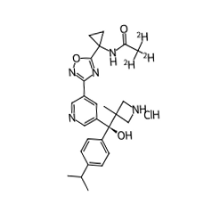 Cl.[2H]C([2H])([2H])C(=O)NC1(c2nc(-c3cncc([C@@](O)(c4ccc(C(C)C)cc4)C4(C)CNC4)c3)no2)CC1